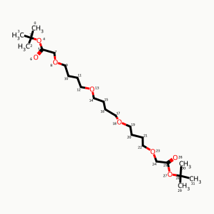 CC(C)(C)OC(=O)COCCCCOCCCCOCCCCOCC(=O)OC(C)(C)C